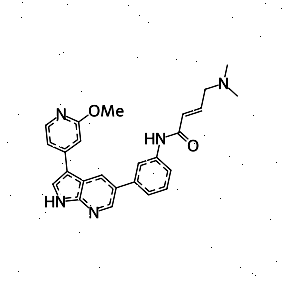 COc1cc(-c2c[nH]c3ncc(-c4cccc(NC(=O)C=CCN(C)C)c4)cc23)ccn1